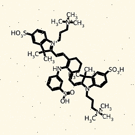 CC1(C)C(/C=C/C2=C(Nc3cccc(S(=O)O)c3)C(=C/C=C3/N(CCC[N+](C)(C)C)c4ccc(S(=O)(=O)O)cc4C3(C)C)/CCC2)=[N+](CCC[N+](C)(C)C)c2ccc(S(=O)(=O)O)cc21